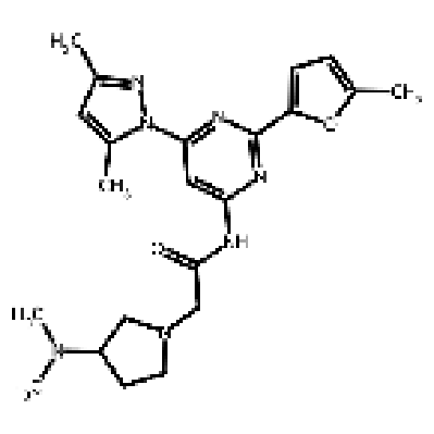 Cc1cc(C)n(-c2cc(NC(=O)CN3CCC(N(C)C)C3)nc(-c3ccc(C)o3)n2)n1